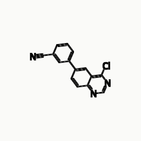 N#Cc1cccc(-c2ccc3ncnc(Cl)c3c2)c1